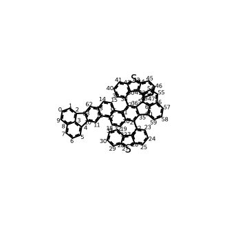 c1cc2c3c(cccc3c1)-c1cc3c(ccc4c3ccc3c(-c5cccc6sc7ccccc7c56)c5c(c(-c6cccc7sc8ccccc8c67)c34)-c3cccc4cccc-5c34)cc1-2